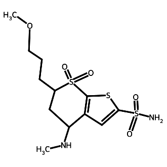 CNC1CC(CCCOC)S(=O)(=O)c2sc(S(N)(=O)=O)cc21